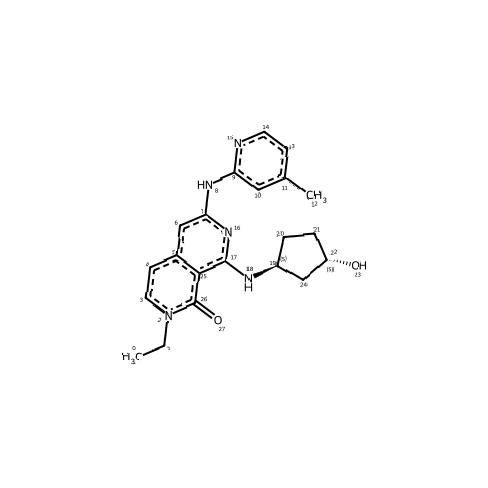 CCn1ccc2cc(Nc3cc(C)ccn3)nc(N[C@H]3CC[C@H](O)C3)c2c1=O